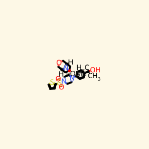 COC1C[C@H]2COC[C@@H](C1)N2C[C@H]1CN(S(=O)(=O)c2cccs2)CCN1c1ccc(C(C)(C)O)cc1